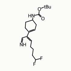 CC(C)(C)OC(=O)NC1CC=C(/C(C=N)=C/CCCC(F)F)CC1